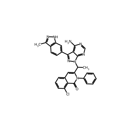 Cc1n[nH]c2cc(-c3nn(C(C)c4cc5cccc(Cl)c5c(=O)n4-c4ccccc4)c4ncnc(N)c34)ccc12